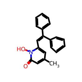 Cc1cc(C=C(c2ccccc2)c2ccccc2)n(O)c(=O)c1